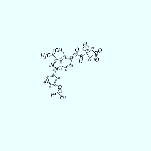 CC(C)c1nn(-c2cncc(OC(F)F)c2)c2ccc(C(=O)NC3(C)CS(=O)(=O)C3)cc12